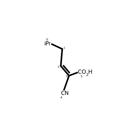 CC(C)CC=C(C#N)C(=O)O